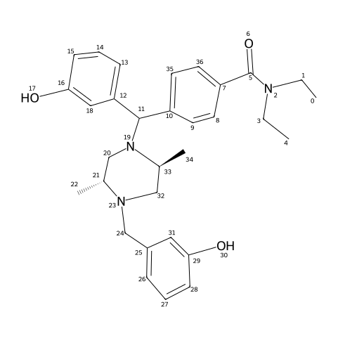 CCN(CC)C(=O)c1ccc(C(c2cccc(O)c2)N2C[C@@H](C)N(Cc3cccc(O)c3)C[C@@H]2C)cc1